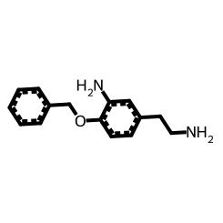 NCCc1ccc(OCc2ccccc2)c(N)c1